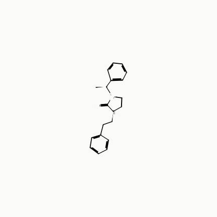 C[C@@H](c1ccccc1)N1CC[C@@H](CCc2ccccc2)C1=O